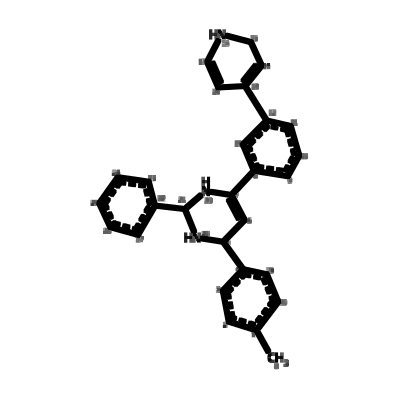 Cc1ccc(C2C=C(c3cccc(C4=CCNC=C4)c3)NC(c3ccccc3)N2)cc1